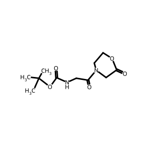 CC(C)(C)OC(=O)NCC(=O)N1CCOC(=O)C1